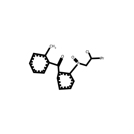 Cc1ccccc1C(=O)c1ccccc1[P](=O)CC(Cl)C(C)C